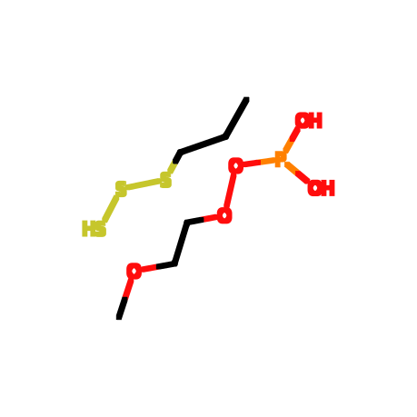 CCCSSS.COCCOOP(O)O